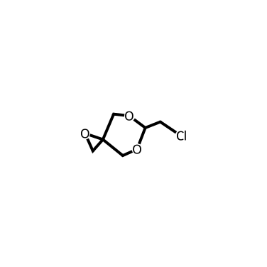 ClCC1OCC2(CO1)CO2